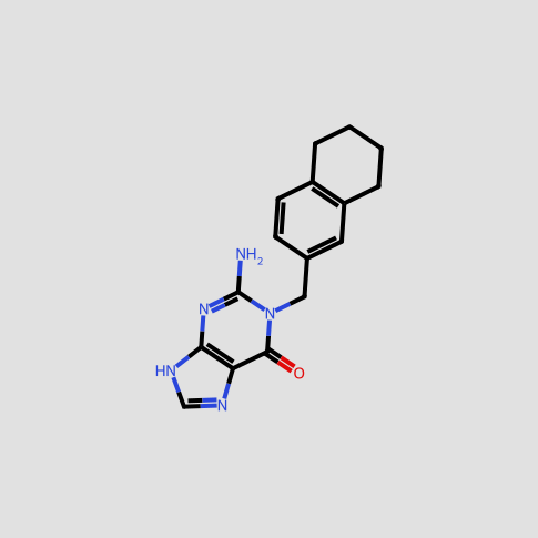 Nc1nc2[nH]cnc2c(=O)n1Cc1ccc2c(c1)CCCC2